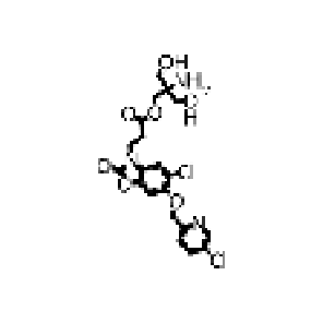 NC(CO)(CO)COC(=O)CCn1c(=O)oc2cc(OCc3ccc(Cl)cn3)c(Cl)cc21